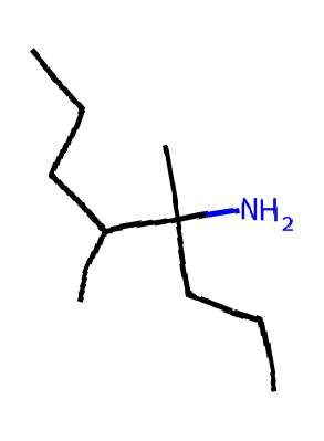 CCCC(C)C(C)(N)CCC